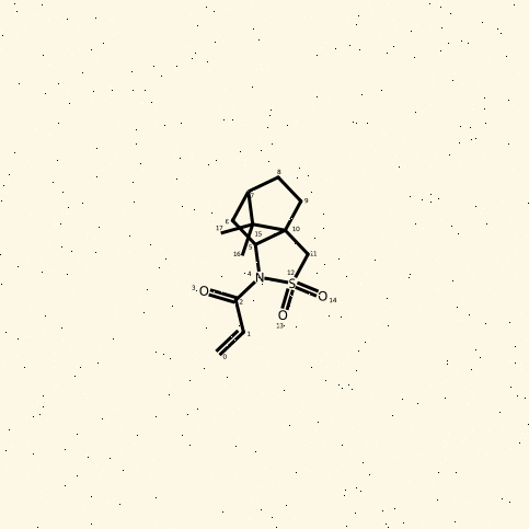 C=CC(=O)N1C2CC3CCC2(CS1(=O)=O)C3(C)C